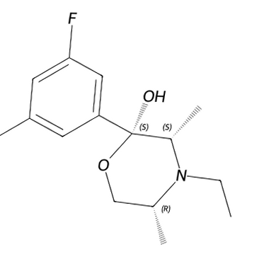 CCN1[C@H](C)CO[C@@](O)(c2cc(F)cc(F)c2)[C@@H]1C